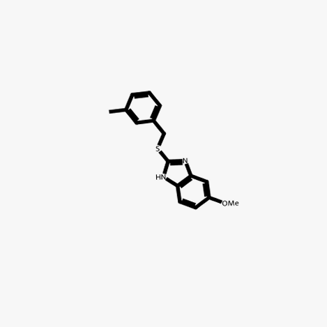 COc1ccc2[nH]c(SCc3cccc(C)c3)nc2c1